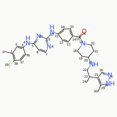 Cc1cc(Nc2ccnc(Nc3ccc(C(=O)N4CCC(NCC(C)c5cn[nH]c5C)CC4)cc3)n2)ccc1F